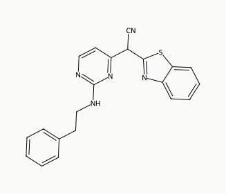 N#CC(c1ccnc(NCCc2ccccc2)n1)c1nc2ccccc2s1